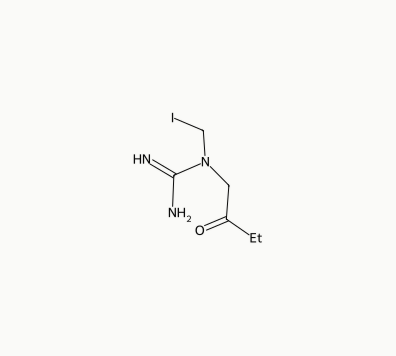 CCC(=O)CN(CI)C(=N)N